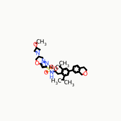 COC1CN([C@H]2COc3cc(S(=O)(=O)NC(=O)Cc4c(C(C)C)cc(-c5ccc6c(c5)COCC6)cc4C(C)C)nn3C2)C1